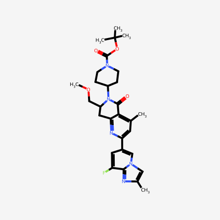 COCC1Cc2nc(-c3cc(F)c4nc(C)cn4c3)cc(C)c2C(=O)N1C1CCN(C(=O)OC(C)(C)C)CC1